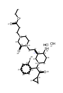 CCOC(=O)CCN1CCN(C/C=C2\CN(C(C(=O)C3CC3)c3ccccc3F)CCC2S)C(=O)C1.Cl.Cl